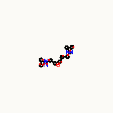 c1cc(-c2cccc(-c3cnc4c5ccccc5c5ccccc5c4n3)c2)cc(-c2ccc3oc4ccc(-c5cccc(-c6cnc7c8ccccc8c8ccccc8c7n6)c5)cc4c3c2)c1